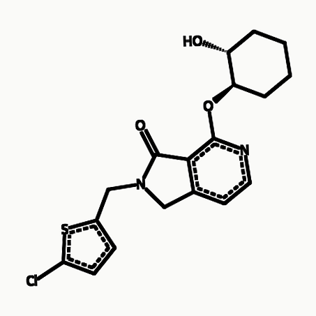 O=C1c2c(ccnc2O[C@@H]2CCCC[C@H]2O)CN1Cc1ccc(Cl)s1